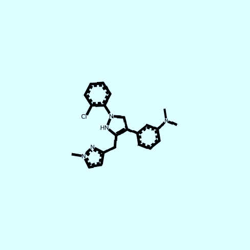 CN(C)c1cccc(C2=C(Cc3ccn(C)n3)NN(c3ccccc3Cl)C2)c1